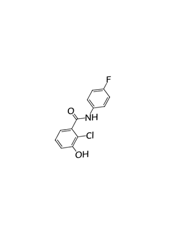 O=C(Nc1ccc(F)cc1)c1cccc(O)c1Cl